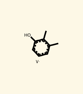 Cc1cccc(O)c1C.[V]